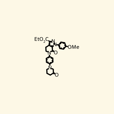 CCOC(=O)c1nn(-c2ccc(OC)cc2)c2c1CCN(c1ccc(N3CCCC(=O)C3)cc1)C2=O